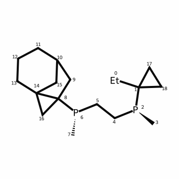 CCC1([P@@](C)CC[P@](C)C23CC4CCCC2(C4)C3)CC1